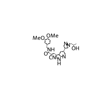 COc1ccc(CNC(=O)/C(C#N)=C/c2c[nH]c3ncc(-c4cnn(CC(C)O)c4)cc23)cc1OC